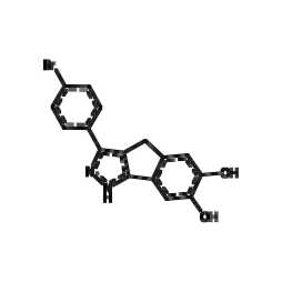 Oc1cc2c(cc1O)-c1[nH]nc(-c3ccc(Br)cc3)c1C2